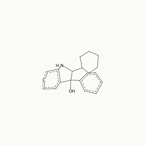 NC(C1CCCCC1)C(O)(c1ccccc1)c1ccccc1